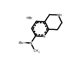 Br.CC[C@H](C)N(C)c1ccc2c(n1)CCNC2